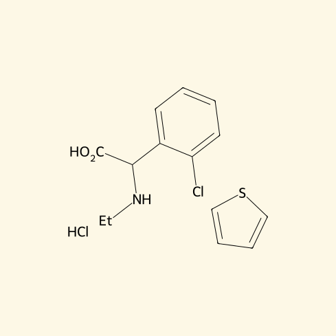 CCNC(C(=O)O)c1ccccc1Cl.Cl.c1ccsc1